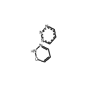 C1=CONN=C1.c1cnnnc1